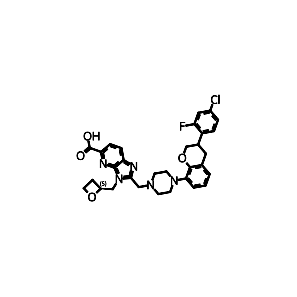 O=C(O)c1ccc2nc(CN3CCN(c4cccc5c4OCC(c4ccc(Cl)cc4F)C5)CC3)n(C[C@@H]3CCO3)c2n1